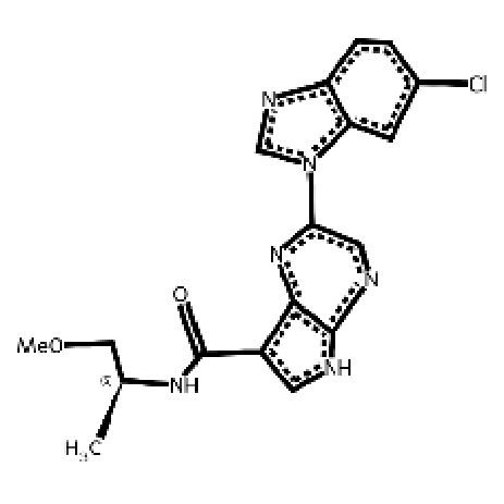 COC[C@H](C)NC(=O)c1c[nH]c2ncc(-n3cnc4ccc(Cl)cc43)nc12